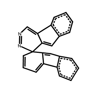 C1=CC2(N=NC=C3C2=Cc2ccccc23)C2=Cc3ccccc3C2=C1